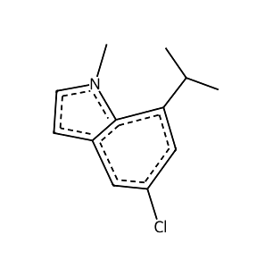 CC(C)c1cc(Cl)cc2ccn(C)c12